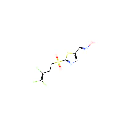 O=S(=O)(CCC(F)=C(F)F)c1ncc(C=NO)s1